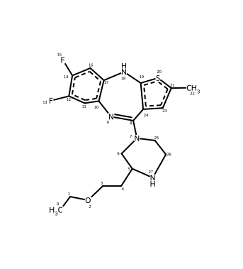 CCOCCC1CN(C2=Nc3cc(F)c(F)cc3Nc3sc(C)cc32)CCN1